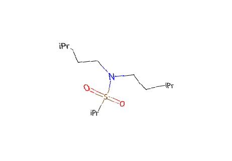 CC(C)CCN(CCC(C)C)S(=O)(=O)C(C)C